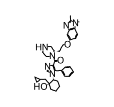 Cc1nc2cc(OCC[C@@H]3CNCCN3C(=O)c3ncn([C@@H]4CCCC[C@@]4(O)CC4CC4)c3-c3ccccc3)ccc2n1C